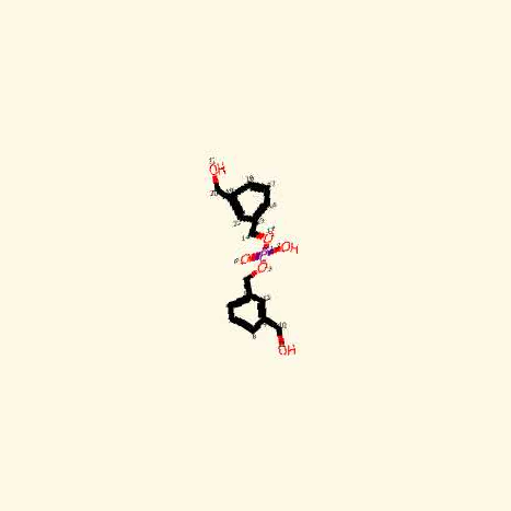 O=P(O)(OCc1cccc(CO)c1)OCc1cccc(CO)c1